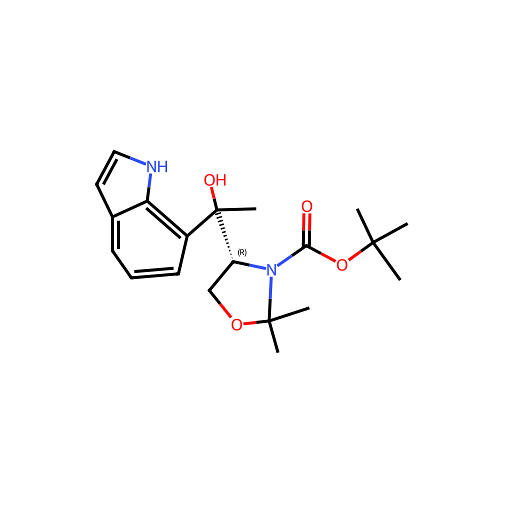 CC(C)(C)OC(=O)N1[C@@H](C(C)(O)c2cccc3cc[nH]c23)COC1(C)C